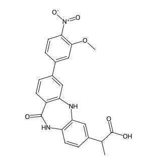 COc1cc(-c2ccc3c(c2)Nc2cc(C(C)C(=O)O)ccc2NC3=O)ccc1[N+](=O)[O-]